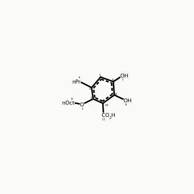 CCCCCCCCOc1c(CCC)cc(O)c(O)c1C(=O)O